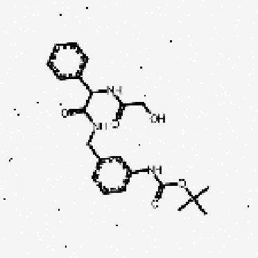 CC(C)(C)OC(=O)Nc1cccc(CNC(=O)[C@H](NC(=O)CO)c2ccccc2)c1